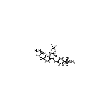 CC1Oc2ccc(C(Cc3ccc(S(N)(=O)=O)cc3)NC(=O)OC(C)(C)C)cc2N=C1N